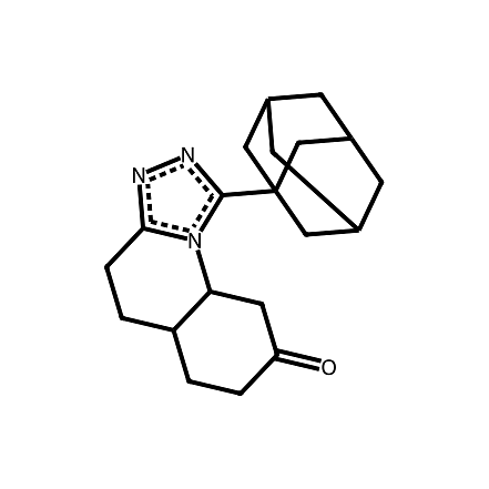 O=C1CCC2CCc3nnc(C45CC6CC(CC(C6)C4)C5)n3C2C1